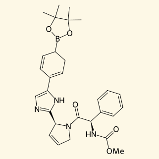 COC(=O)N[C@@H](C(=O)N1CC=C[C@H]1c1ncc(C2=CCC(B3OC(C)(C)C(C)(C)O3)C=C2)[nH]1)c1ccccc1